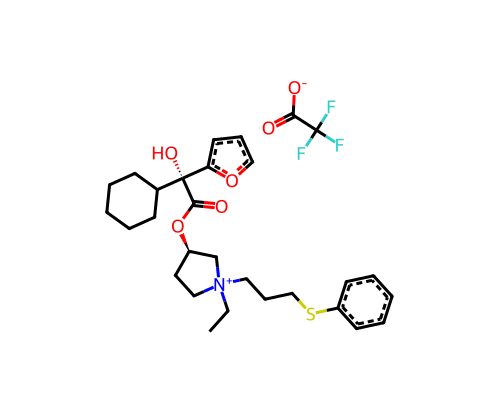 CC[N+]1(CCCSc2ccccc2)CC[C@@H](OC(=O)[C@](O)(c2ccco2)C2CCCCC2)C1.O=C([O-])C(F)(F)F